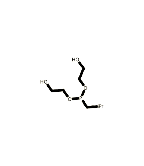 CC(C)CP(OCCO)OCCO